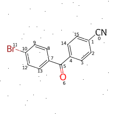 N#Cc1ccc(C(=O)c2ccc(Br)cc2)cc1